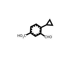 O=Cc1cc(C(=O)O)ccc1C1CC1